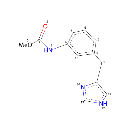 COC(=O)Nc1cccc(Cc2c[nH]cn2)c1